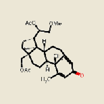 COC[C@H](OC(C)=O)[C@H]1CC[C@@]2(COC(C)=O)CC[C@H]3[C@@H](CCC4=CC(=O)C=C(C)[C@@]43C)[C@H]12